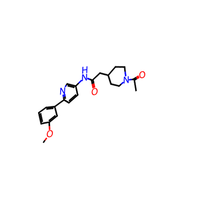 COc1cccc(-c2ccc(NC(=O)CC3CCN(C(C)=O)CC3)cn2)c1